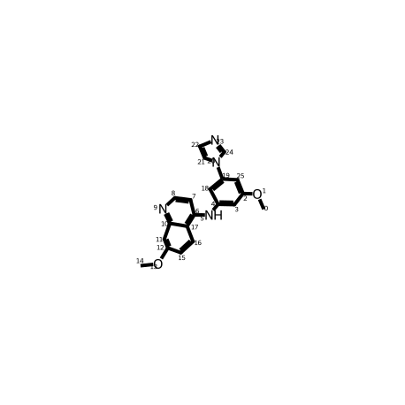 COc1cc(Nc2ccnc3cc(OC)ccc23)cc(-n2ccnc2)c1